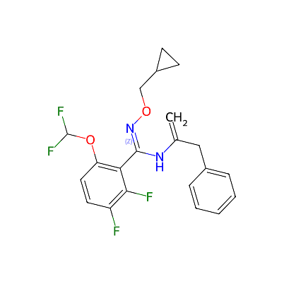 C=C(Cc1ccccc1)N/C(=N\OCC1CC1)c1c(OC(F)F)ccc(F)c1F